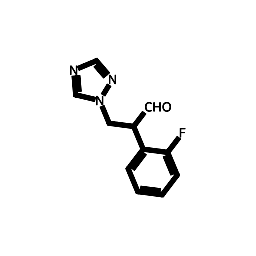 O=CC(Cn1cncn1)c1ccccc1F